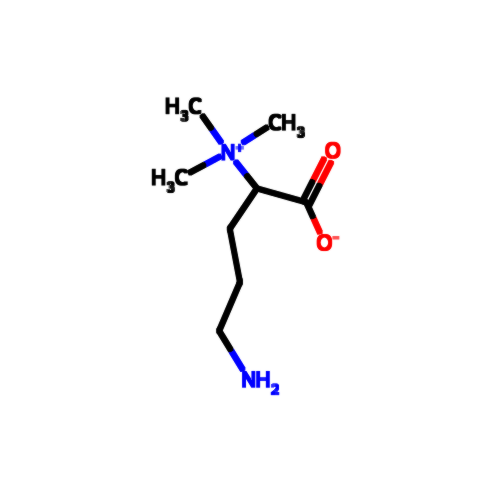 C[N+](C)(C)C(CCCN)C(=O)[O-]